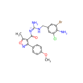 COc1ccc(-c2noc(C)c2C(=O)/N=C(/N)NCc2cc(Cl)c(N)c(Br)c2)cc1